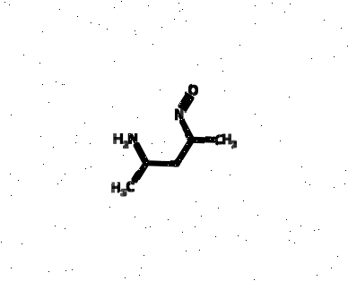 CC(N)CC(C)N=O